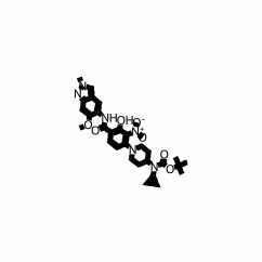 COc1cc2nn(C)cc2cc1NC(=O)c1ccc(N2CCC(N(C(=O)OC(C)(C)C)C3CC3)CC2)c([N+](=O)[O-])c1O